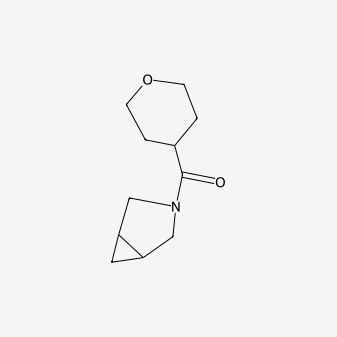 O=C(C1CCOCC1)N1CC2CC2C1